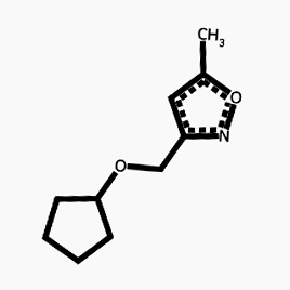 Cc1cc(COC2CCCC2)no1